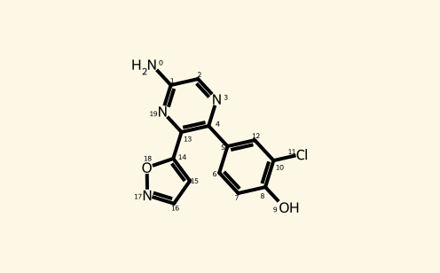 Nc1cnc(-c2ccc(O)c(Cl)c2)c(-c2ccno2)n1